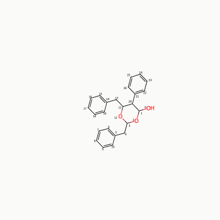 OC1OC(Cc2ccccc2)OC(Cc2ccccc2)C1c1ccccc1